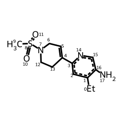 CCc1cc(C2=CCN(S(C)(=O)=O)CC2)ncc1N